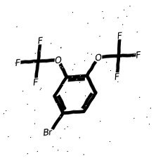 FC(F)(F)Oc1ccc(Br)cc1OC(F)(F)F